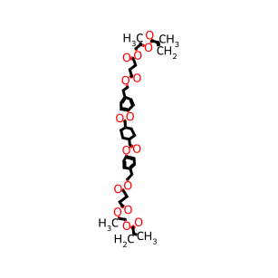 C=C(C)C(=O)OCC(C)OC(=O)CCC(=O)OCCc1ccc(OC(=O)C2CCC(C(=O)Oc3ccc(CCOC(=O)CCC(=O)OCC(C)OC(=O)C(=C)C)cc3)CC2)cc1